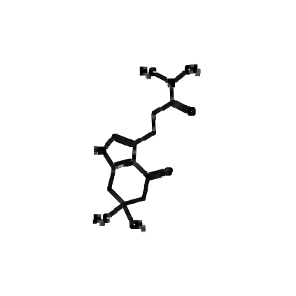 CN(C)C(=O)CCc1c[nH]c2c1C(=O)CC(C)(C)C2